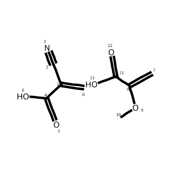 C=C(C#N)C(=O)O.C=C(OC)C(=O)O